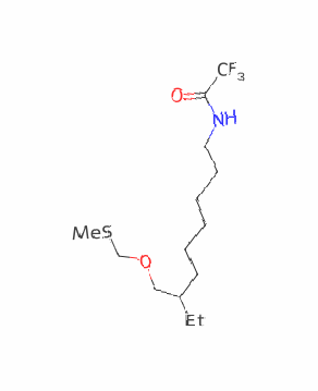 CCC(CCCCCCNC(=O)C(F)(F)F)COCSC